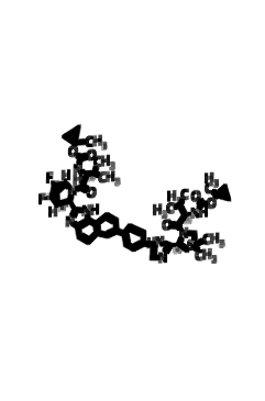 CC(C)[C@H](NC(=O)OC1(C)CC1)C(=O)N1C[Si](C)(C)C[C@H]1c1ncc(-c2ccc(-c3ccc4c(ccc5nc([C@H]6[C@@H]7C[C@@H]([C@@H](F)[C@H]7F)N6C(=O)[C@@H](NC(=O)OC6(C)CC6)C(C)C)[nH]c54)c3)cc2)[nH]1